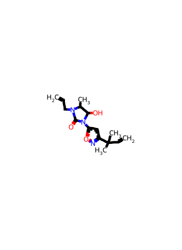 C=CCN1C(=O)N(c2cc(C(C)(C)C=C)no2)C(O)C1C